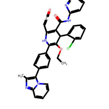 CCOC1=C(c2ccc(-c3c(C)nc4ccccn34)cc2)NC(C=C=O)=C(C(=O)Nc2ccccn2)C1c1ccccc1Cl